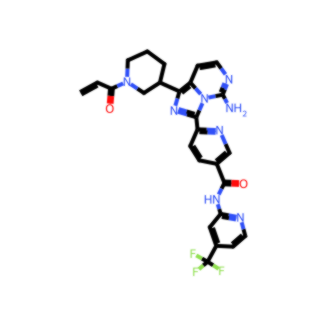 C=CC(=O)N1CCCC(c2nc(-c3ccc(C(=O)Nc4cc(C(F)(F)F)ccn4)cn3)n3c(N)nccc23)C1